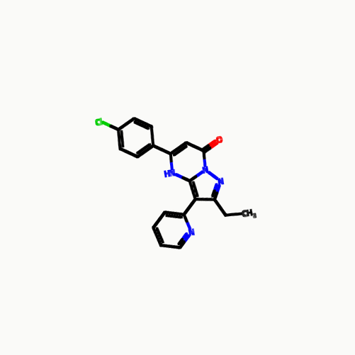 CCc1nn2c(=O)cc(-c3ccc(Cl)cc3)[nH]c2c1-c1ccccn1